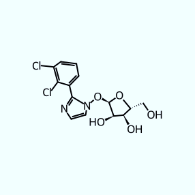 OC[C@H]1O[C@H](On2ccnc2-c2cccc(Cl)c2Cl)[C@H](O)[C@@H]1O